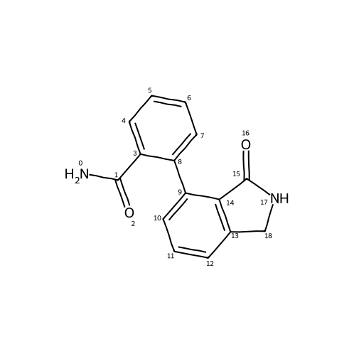 NC(=O)c1ccccc1-c1cccc2c1C(=O)NC2